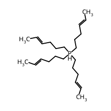 CC=CCCC[PH](CCCC=CC)(CCCC=CC)CCCC=CC